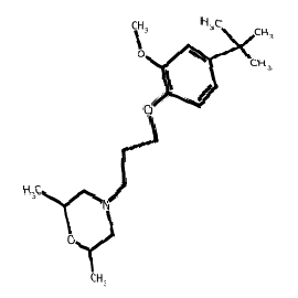 COc1cc(C(C)(C)C)ccc1OCCCN1CC(C)OC(C)C1